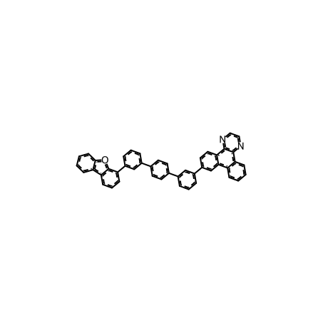 c1cc(-c2ccc(-c3cccc(-c4cccc5c4oc4ccccc45)c3)cc2)cc(-c2ccc3c(c2)c2ccccc2c2nccnc32)c1